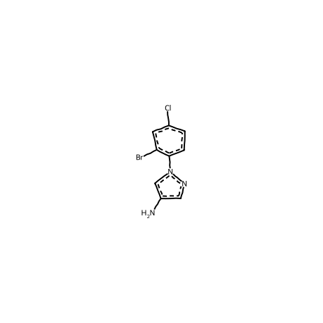 Nc1cnn(-c2ccc(Cl)cc2Br)c1